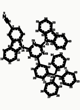 N#Cc1ccc2c(c1)c1ccccc1n2-c1cc(-c2cccc(S(c3ccccc3)(c3ccccc3)c3ccccc3)c2)nc(-n2c3ccccc3c3ccccc32)n1